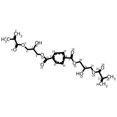 C=C(C)C(=O)OCC(O)COC(=O)c1ccc(C(=O)OCC(O)COC(=O)C(=C)C)cc1